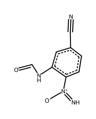 N#Cc1ccc([N+](=N)[O-])c(NC=O)c1